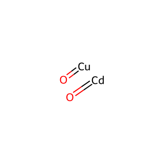 [O]=[Cd].[O]=[Cu]